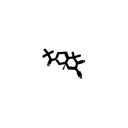 CC(C)(C)C(=O)N1CC=C2C(C)(C)C(=O)C(C#N)=C[C@@]2(C)C1